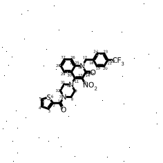 O=C(c1cccs1)N1CCN(c2c([N+](=O)[O-])c(=O)n(Cc3ccc(C(F)(F)F)cc3)c3ccccc23)CC1